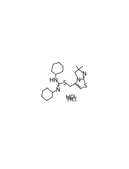 CC1(C)CN2C(CSC(=NC3CCCCC3)NC3CCCCC3)=CSC2=N1.Cl.Cl